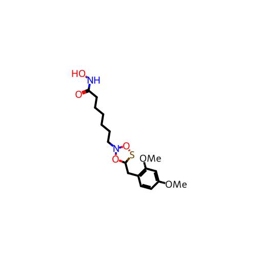 COc1ccc(CC2ON(CCCCCCC(=O)NO)OS2)c(OC)c1